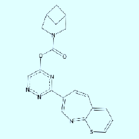 O=C(Oc1cnnc(C2=CN=C3SC=CC=C3C=C2)n1)N1CC2CC(C2)C1